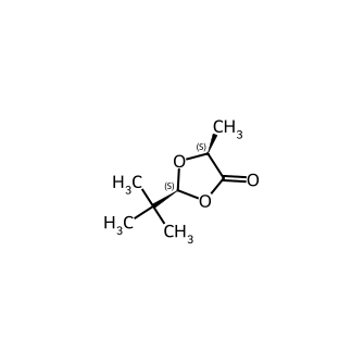 C[C@@H]1O[C@H](C(C)(C)C)OC1=O